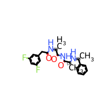 C[C@H](NC(=O)Cc1cc(F)cc(F)c1)C(=O)NC(=O)[C@H](C)N[C@@H](C)c1ccccc1